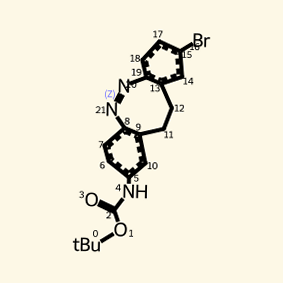 CC(C)(C)OC(=O)Nc1ccc2c(c1)CCc1cc(Br)ccc1/N=N\2